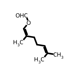 CC(C)=CCCC(C)=COC=O